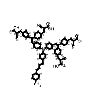 Cc1ccc(/C=C/C=C/c2ccc(N(c3ccc(C=C(c4ccc(/C=C(\C#N)C(=O)O)cc4)c4ccc(/C=C(\C#N)C(=O)O)cc4)cc3)c3ccc(C=C(c4ccc(/C=C(\C#N)C(=O)O)cc4)c4ccc(/C=C(\C#N)C(=O)O)cc4)cc3)cc2)cc1